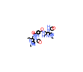 CCc1nc2c(cnn2CC)c(NC2CCOCC2)c1CNC(=O)c1ccc(C(=O)NCc2c(CC)nc3c(cnn3CC)c2NC2CCOCC2)cc1